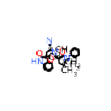 CC(C)CC(C(=O)N(C)c1ccccc1)C(=O)N(C)[C@H](C#N)C[C@@]1(C)C(=O)Nc2ccccc21